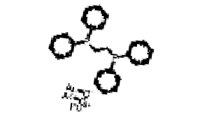 CC(=O)[O-].CC(=O)[O-].[Pd+2].c1ccc(P(CCP(c2ccccc2)c2ccccc2)c2ccccc2)cc1